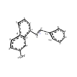 Oc1ccc2cccc(/N=C/c3ccccc3)c2c1